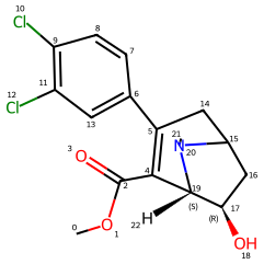 COC(=O)C1=C(c2ccc(Cl)c(Cl)c2)CC2C[C@@H](O)[C@H]1N2C